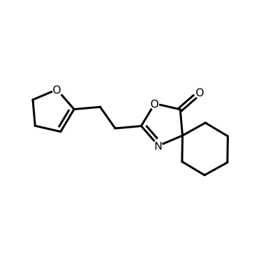 O=C1OC(CCC2=CCCO2)=NC12CCCCC2